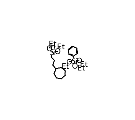 CCO[SiH](CCCC1CCCCCC1)OCC.CCO[Si](OCC)(OCC)c1ccccc1